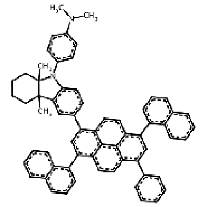 CN(C)c1ccc(N2c3ccc(-c4cc(-c5cccc6ccccc56)c5ccc6c(-c7ccccc7)cc(-c7cccc8ccccc78)c7ccc4c5c67)cc3C3(C)CCCCC23C)cc1